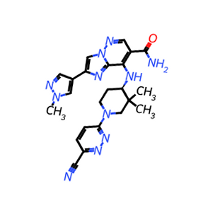 Cn1cc(-c2cn3ncc(C(N)=O)c(N[C@@H]4CCN(c5ccc(C#N)nn5)CC4(C)C)c3n2)cn1